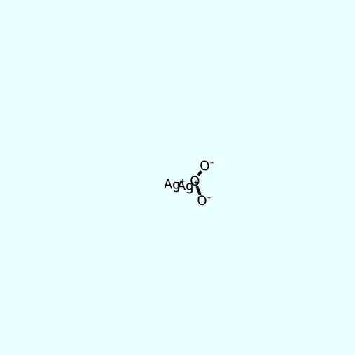 [Ag+].[Ag+].[O-]O[O-]